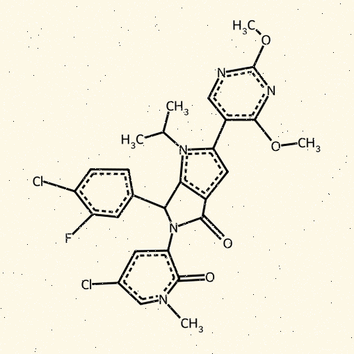 COc1ncc(-c2cc3c(n2C(C)C)C(c2ccc(Cl)c(F)c2)N(c2cc(Cl)cn(C)c2=O)C3=O)c(OC)n1